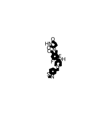 O=C1CCC(N2Cc3c(cc(F)c(C4(O)CCN(Cc5ccc6scnc6c5)CC4)c3F)C2=O)C(=O)N1